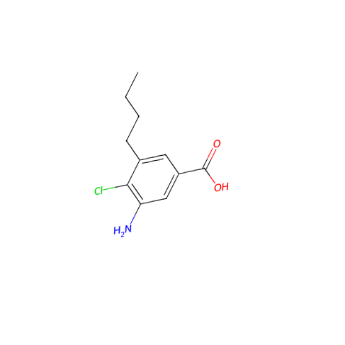 CCCCc1cc(C(=O)O)cc(N)c1Cl